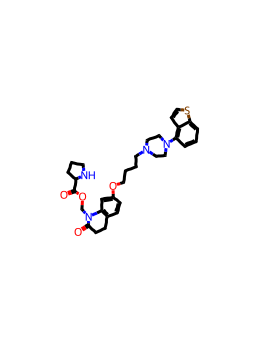 O=C(OCN1C(=O)CCc2ccc(OCCCCN3CCN(c4cccc5sccc45)CC3)cc21)C1CCCN1